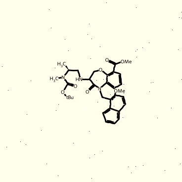 COC(=O)c1cccc2c1OCC(NC[C@H](C)N(C)C(=O)OC(C)(C)C)C(=O)N2Cc1c(OC)ccc2ccccc12